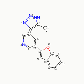 N#Cc1[nH]nnc1-c1cncc(-c2cc3ccccc3o2)c1